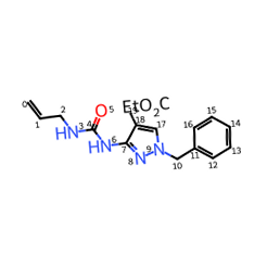 C=CCNC(=O)Nc1nn(Cc2ccccc2)cc1C(=O)OCC